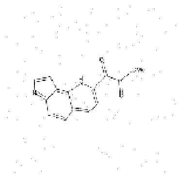 COC(=O)C(=O)c1ccc2ccc3nccc3c2[nH]1